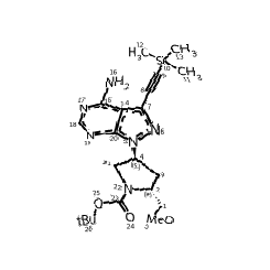 COC[C@H]1C[C@H](n2nc(C#C[Si](C)(C)C)c3c(N)ncnc32)CN1C(=O)OC(C)(C)C